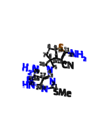 CSc1nc(N2CC3(CCc4sc(N)c(C#N)c43)C2)c2c(N)n[nH]c2n1